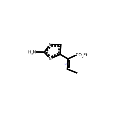 C/C=C(\C(=O)OCC)c1csc(N)n1